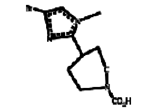 Cn1cc(Br)nc1C1CCN(C(=O)O)CC1